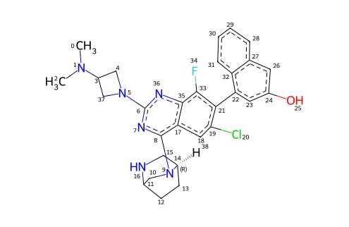 CN(C)C1CN(c2nc(N3CC4CC[C@@H]3CN4)c3cc(Cl)c(-c4cc(O)cc5ccccc45)c(F)c3n2)C1